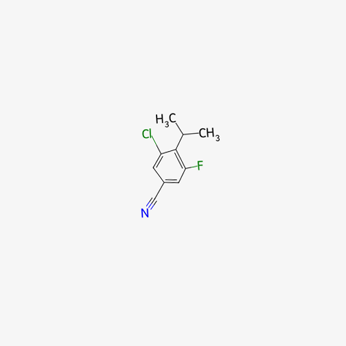 CC(C)c1c(F)cc(C#N)cc1Cl